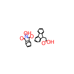 O=C(O)CC1c2ccccc2-c2ccccc21.O=C1C2C3C=CC(C3)C2C(=O)N1O